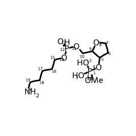 CO[PH](O)(O)OC1CCOC1CO[PH](=O)OCCCCCN